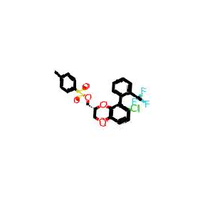 Cc1ccc(S(=O)(=O)OC[C@H]2COc3ccc(Cl)c(-c4ccccc4C(F)(F)F)c3O2)cc1